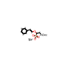 CCCCCCCCCCCC(OC=Cc1ccccc1)S(=O)(=O)[O-].[Na+]